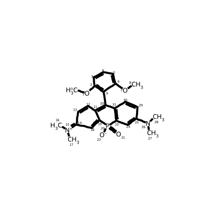 COc1cccc(OC)c1C1=C2C=CC(=[N+](C)C)C=C2P(=O)([O-])c2cc(N(C)C)ccc21